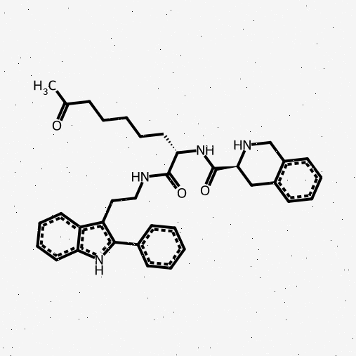 CC(=O)CCCCC[C@H](NC(=O)[C@@H]1Cc2ccccc2CN1)C(=O)NCCc1c(-c2ccccc2)[nH]c2ccccc12